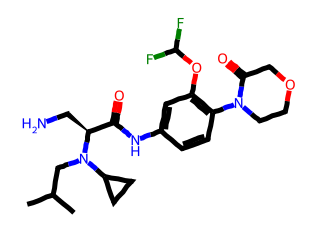 CC(C)CN(C1CC1)[C@@H](CN)C(=O)Nc1ccc(N2CCOCC2=O)c(OC(F)F)c1